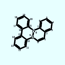 C1=Cc2ccccc2N2B1c1ccccc1-c1ccccc12